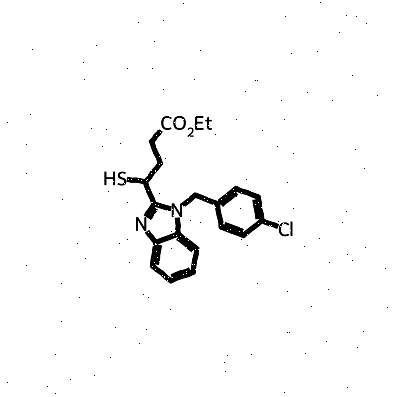 CCOC(=O)CCC(S)c1nc2ccccc2n1Cc1ccc(Cl)cc1